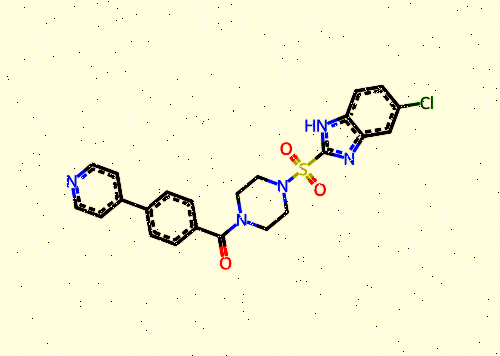 O=C(c1ccc(-c2ccncc2)cc1)N1CCN(S(=O)(=O)c2nc3cc(Cl)ccc3[nH]2)CC1